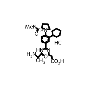 CNC(=O)[C@@H]1CCCN1c1ccc(C(=NCCC(=O)O)NC(=O)[C@H](C)N)cc1C1CCCCC1.Cl